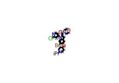 CC(C)N1CCC(Oc2cc3cc(C(=O)N4CCOCC4)n(-c4ccnc(Cl)c4)c3cc2Br)CC1